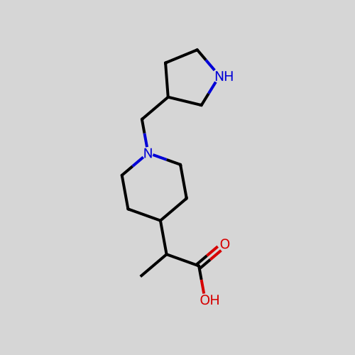 CC(C(=O)O)C1CCN(CC2CCNC2)CC1